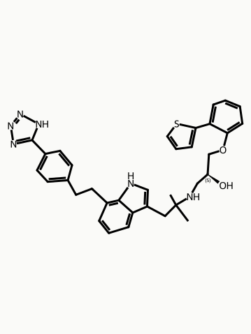 CC(C)(Cc1c[nH]c2c(CCc3ccc(-c4nnn[nH]4)cc3)cccc12)NC[C@H](O)COc1ccccc1-c1cccs1